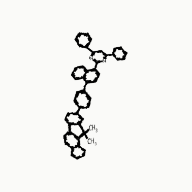 CC1(C)c2cc(-c3ccc(-c4ccc(-c5nc(-c6ccccc6)cc(-c6ccccc6)n5)c5ccccc45)cc3)ccc2-c2ccc3ccccc3c21